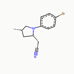 CC1CC(CC#N)N(c2ccc(Br)cc2)C1